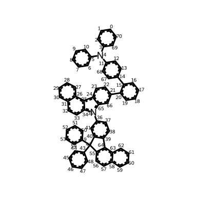 c1ccc(N(c2ccccc2)c2ccc(-c3ccccc3-c3ccc4c5c6ccccc6ccc5n(-c5ccc6c(c5)C(c5ccccc5)(c5ccccc5)c5ccc7ccccc7c5-6)c4c3)cc2)cc1